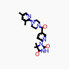 Cc1cnc(N2CCN(C(=O)c3ccc(N4C(=O)NC(=O)C4(C)C)nc3)CC2)c(C)c1